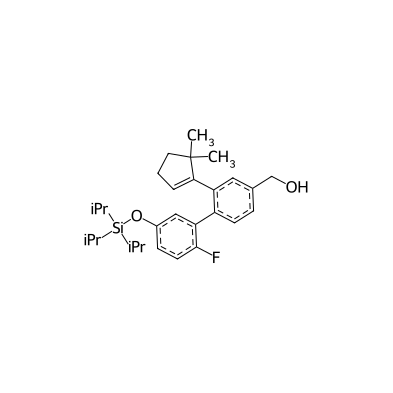 CC(C)[Si](Oc1ccc(F)c(-c2ccc(CO)cc2C2=CCCC2(C)C)c1)(C(C)C)C(C)C